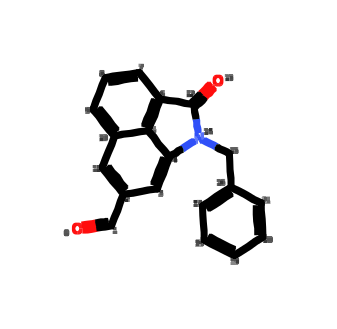 O=Cc1cc2c3c(cccc3c1)C(=O)N2Cc1ccccc1